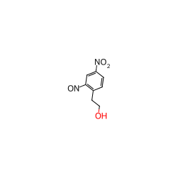 O=Nc1cc([N+](=O)[O-])ccc1CCO